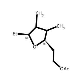 CC[C@@H]1O[C@H](CCOC(C)=O)C(C)C1C